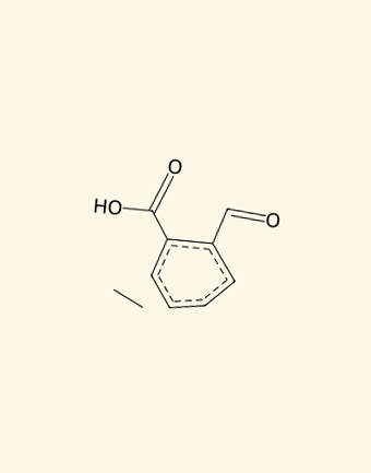 CC.O=Cc1ccccc1C(=O)O